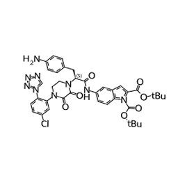 CC(C)(C)OC(=O)c1cc2cc(NC(=O)[C@H](Cc3ccc(N)cc3)N3CCN(c4cc(Cl)ccc4-n4cnnn4)C(=O)C3=O)ccc2n1C(=O)OC(C)(C)C